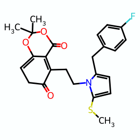 CSc1ccc(Cc2ccc(F)cc2)n1CCC1=C2C(=O)OC(C)(C)OC2=CCC1=O